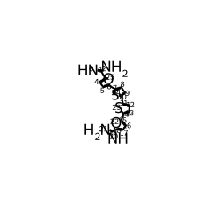 N=C(N)c1ccc(-c2ccc(-c3ccc(-c4ccc(C(=N)N)o4)s3)s2)o1